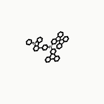 c1ccc(-n2c3ccccc3c3c(-c4ccc(N(c5ccc6c(c5)C5(c7ccccc7-c7ccccc75)c5ccccc5-6)c5ccc6c7ccccc7c7ccccc7c6c5)cc4)cccc32)cc1